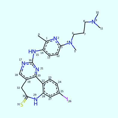 Cc1nc(N(C)CCCN(C)C)ccc1Nc1ncc2c(n1)-c1ccc(I)cc1NC(=S)C2